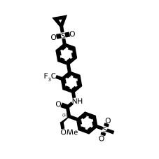 COC[C@@H](C(=O)Nc1ccc(-c2ccc(S(=O)(=O)C3CC3)cc2)c(C(F)(F)F)c1)c1ccc(S(C)(=O)=O)cc1